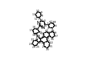 c1ccc(-c2cc(-c3ccccc3)nc(-c3cccc(-n4c5ccccc5c5c6ccccc6c6c7ccccc7ccc6c54)c3)n2)cc1